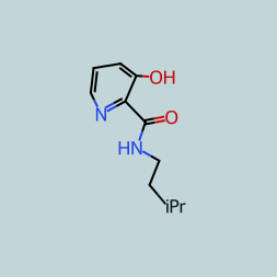 CC(C)CCNC(=O)c1ncccc1O